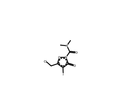 CN(C)C(=O)n1oc(CCl)c(I)c1=O